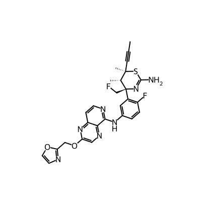 CC#C[C@@]1(C)SC(N)=N[C@](CF)(c2cc(Nc3nccc4nc(OCc5ncco5)cnc34)ccc2F)[C@@H]1C